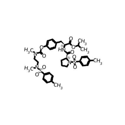 Cc1ccc(S(=O)(=O)N(C)CCN(C)C(=O)Oc2ccc(C[C@H](NC(=O)[C@@H]3CCCN3S(=O)(=O)c3ccc(C)cc3)C(=O)OC(C)C)cc2)cc1